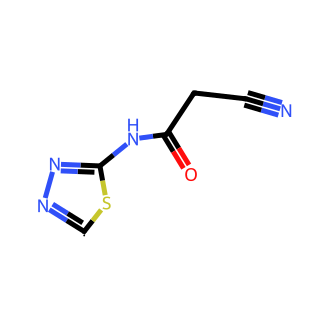 N#CCC(=O)Nc1nn[c]s1